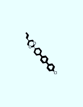 C/C=C/[C@H]1CO[C@H](C2CCC(c3ccc(-c4ccc(Cl)cc4)cc3)CC2)OC1